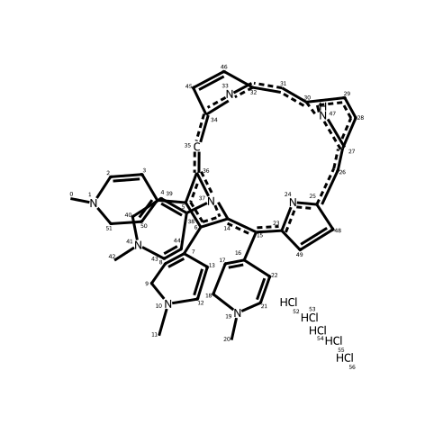 CN1C=CC(c2c(C3=CCN(C)C=C3)c3c(C4=CCN(C)C=C4)c4nc(cc5ccc(cc6nc(cc2n3C2=CCN(C)C=C2)C=C6)[nH]5)C=C4)=CC1.Cl.Cl.Cl.Cl.Cl